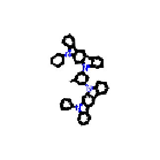 Cc1cc(-n2c3ccccc3c3cc4c5ccccc5n(C5=CCCC=C5)c4cc32)cc(-n2c3ccccc3c3cc4c5ccccc5n(-c5ccccc5)c4cc32)c1